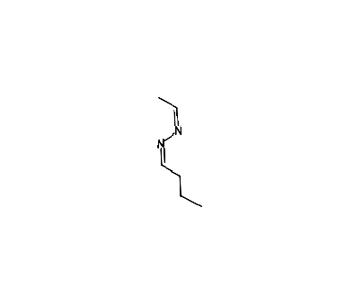 C/C=N\N=C/CCC